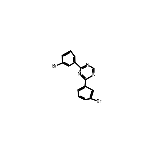 Brc1cccc(-c2ncnc(-c3cccc(Br)c3)n2)c1